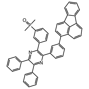 CP(C)(=O)c1cccc(-c2nc(-c3ccccc3)c(-c3ccccc3)nc2-c2cccc(-c3ccc4c5c(cccc35)-c3ccccc3-4)c2)c1